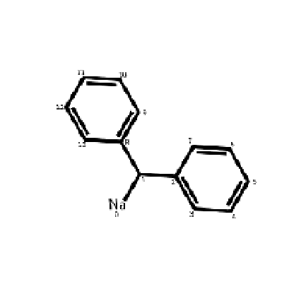 [Na][CH](c1ccccc1)c1ccccc1